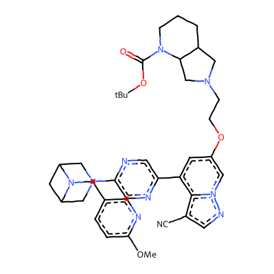 COc1ccc(CN2C3CC2CN(c2cnc(-c4cc(OCCN5CC6CCCN(C(=O)OC(C)(C)C)C6C5)cn5ncc(C#N)c45)cn2)C3)cn1